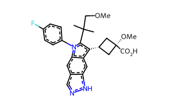 COCC(C)(C)c1c([C@H]2C[C@](OC)(C(=O)O)C2)c2cc3[nH]ncc3cc2n1-c1ccc(F)cc1